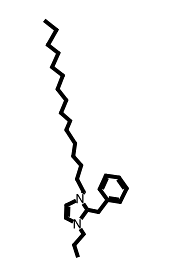 CCCCCCCCCCCCCCCCN1C=CN(CCC)C1Cc1ccccc1